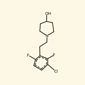 OC1CCN(CCc2c(F)ccc(Cl)c2F)CC1